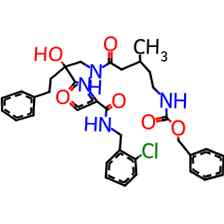 CC(CCNC(=O)OCc1ccccc1)CC(=O)NCC(O)(CCc1ccccc1)c1nc(C(=O)NCc2ccccc2Cl)co1